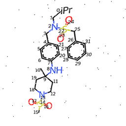 CC(C)CN(Cc1ccc(NC2(C)CCN(S(C)(=O)=O)CC2)cc1)S(=O)(=O)Cc1ccccc1